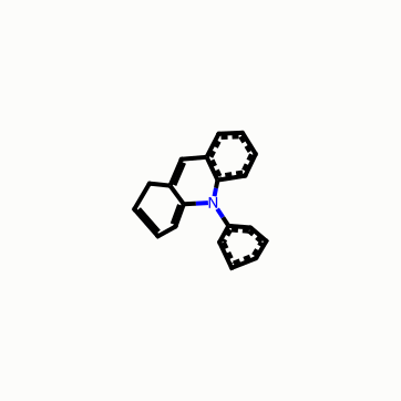 C1=CCC2=Cc3ccccc3N(c3ccccc3)C2=C1